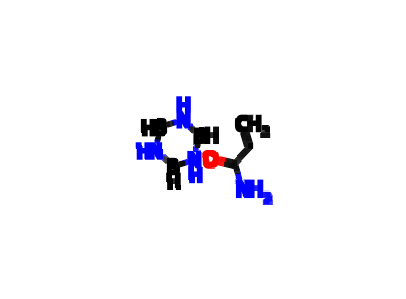 B1NBNBN1.C=CC(N)=O